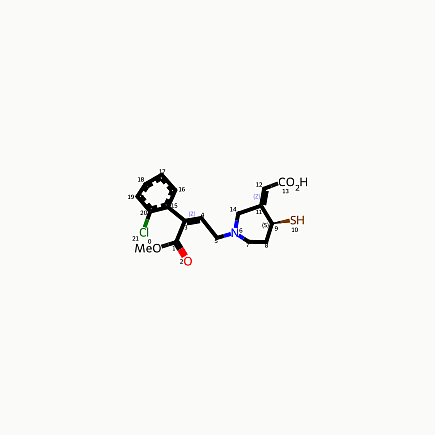 COC(=O)/C(=C\CN1CC[C@H](S)/C(=C\C(=O)O)C1)c1ccccc1Cl